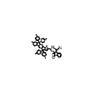 Cc1ccc(C2(c3ccc(C)cc3)c3cc(C)ccc3-c3cc4c(cc32)-c2sc(CCCC3(C)C(=O)c5ccccc5C3=C(C#N)C#N)cc2C4(c2ccc(C)cc2)c2ccc(C)cc2)cc1